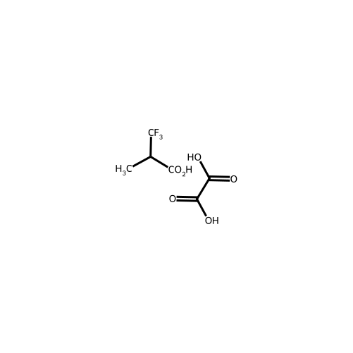 CC(C(=O)O)C(F)(F)F.O=C(O)C(=O)O